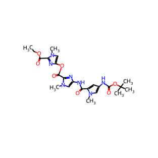 CCOC(=O)c1nc(OC(=O)c2nc(NC(=O)c3cc(NC(=O)OC(C)(C)C)cn3C)cn2C)cn1C